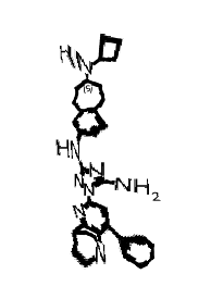 Nc1nc(Nc2ccc3c(c2)CC[C@@H](NC2CCC2)CC3)nn1-c1cc(-c2ccccc2)c2c(n1)C1CCN2CC1